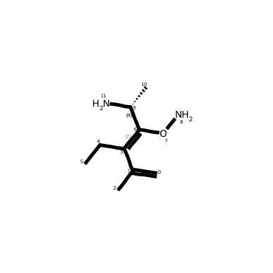 C=C(C)/C(CC)=C(\ON)[C@@H](C)N